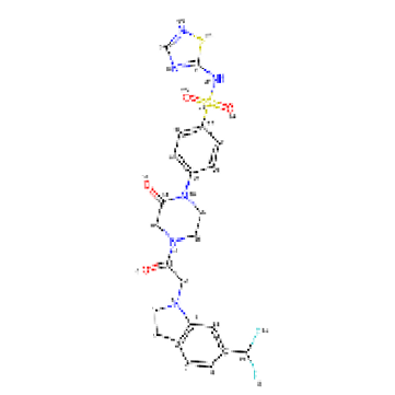 O=C(CN1CCc2ccc(C(F)F)cc21)N1CCN(c2ccc(S(=O)(=O)Nc3ncns3)cc2)C(=O)C1